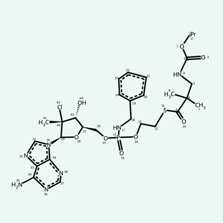 CC(C)OC(=O)NCC(C)(C)C(=O)SCCOP(=O)(NCc1ccccc1)OC[C@H]1O[C@@H](n2cnc3c(N)ncnc32)[C@](C)(Cl)[C@@H]1O